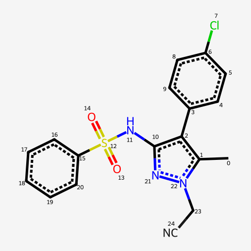 Cc1c(-c2ccc(Cl)cc2)c(NS(=O)(=O)c2ccccc2)nn1CC#N